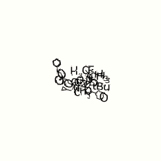 CN(C(=O)OC(C)(C)C)[C@@H](CC(C)(C)F)C(=O)O[C@H](Cc1ccc(C2CCOCC2)cc1)C(=O)N(C)[C@@H](CC1CC1)C(=O)OCC(=O)OCc1ccccc1